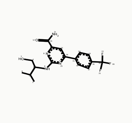 CC(C)C(CO)Nc1nc(C(N)=O)cc(-c2ccc(C(F)(F)F)cc2)n1